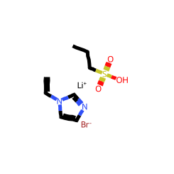 C=Cn1ccnc1.CCCS(=O)(=O)O.[Br-].[Li+]